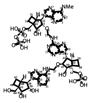 CNc1ncnc2c1ncn2[C@H]1[C@H](OCNc2ncnc3c2ncn3[C@H]2[C@H](OCNc3ncnc4c3ncn4[C@H]3[C@H](O)[C@H](O)[C@]4(CO)CC[C@H]34)[C@H](O)[C@]3(COP(=O)(O)O)CC[C@H]23)[C@H](O)[C@]2(COP(=O)(O)OP(=O)(O)O)CC[C@H]12